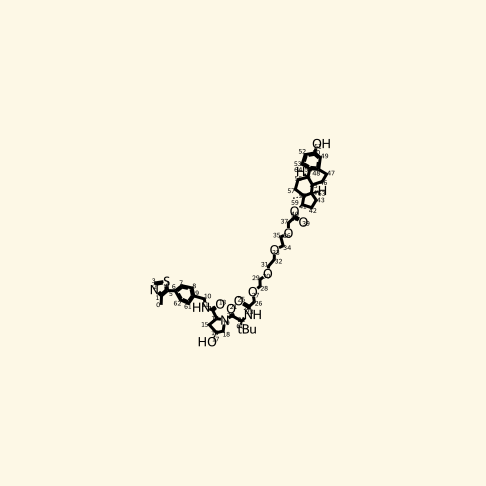 Cc1ncsc1-c1ccc(CNC(=O)C2C[C@@H](O)CN2C(=O)[C@@H](NC(=O)COCCOCCOCCOCC(=O)O[C@H]2CC[C@H]3C4CCc5cc(O)ccc5[C@H]4CC[C@]23C)C(C)(C)C)cc1